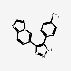 Cc1ccc(-c2[nH]nnc2-c2ccc3ncnn3c2)cc1